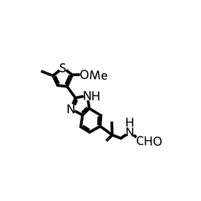 COc1sc(C)cc1-c1nc2ccc(C(C)(C)CNC=O)cc2[nH]1